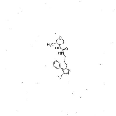 CC1COCCC1NC(=O)NCCCc1nnc(C2CC2)n1-c1ccccc1